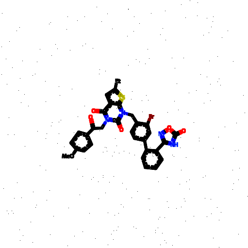 CCc1cc2c(=O)n(CC(=O)c3ccc(OC)cc3)c(=O)n(Cc3ccc(-c4ccccc4-c4noc(=O)[nH]4)cc3Br)c2s1